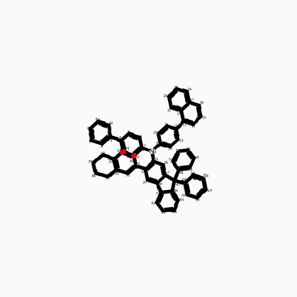 c1ccc(-c2ccc(N(c3ccc(-c4cccc5ccccc45)cc3)c3cc4c(cc3-c3ccc5c(c3)CCCC5)-c3ccccc3C4(c3ccccc3)c3ccccc3)cc2)cc1